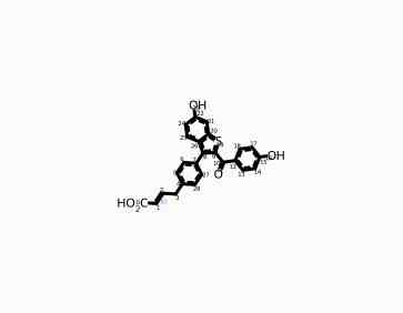 O=C(O)/C=C/Cc1ccc(-c2c(C(=O)c3ccc(O)cc3)sc3cc(O)ccc23)cc1